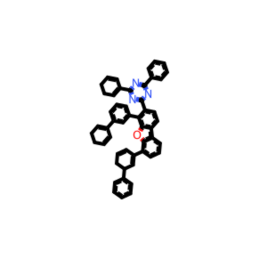 C1=CC(c2cccc(-c3c(-c4nc(C5=CCCC=C5)nc(-c5ccccc5)n4)ccc4c3oc3c(C5=CC(c6ccccc6)CC=C5)cccc34)c2)=CCC1